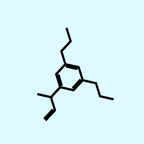 C=C[C](C)c1cc(CCC)cc(CCC)c1